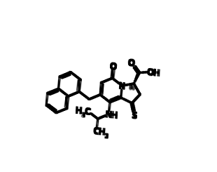 CC(C)Nc1c(Cc2cccc3ccccc23)cc(=O)n2c1C(=S)C[C@@H]2C(=O)O